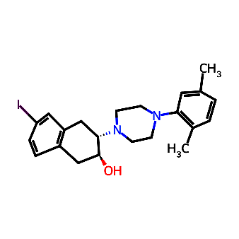 Cc1ccc(C)c(N2CCN([C@H]3Cc4cc(I)ccc4C[C@@H]3O)CC2)c1